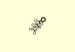 O=C1CN(S(=O)(=O)c2oc3ccccc3c2Cl)C(=O)N1